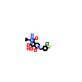 O=C1NC(C2CC2)n2c1c1c(c(O)c2=O)C(=O)N(Cc2ccc(F)c(Cl)c2)CC1